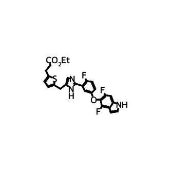 CCOC(=O)CCc1ccc(Cc2cnc(-c3cc(Oc4c(F)cc5[nH]ccc5c4F)ccc3F)[nH]2)s1